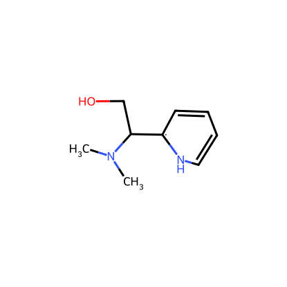 CN(C)C(CO)[C]1C=CC=CN1